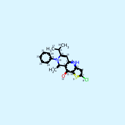 C=C1c2c([nH]c3cc(Cl)sc3c2=O)C=C(C(C)C)N1c1ccccc1